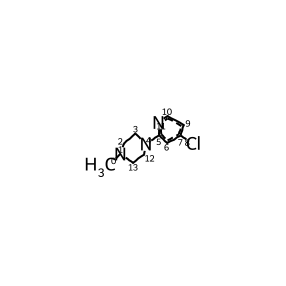 CN1CCN(c2cc(Cl)ccn2)CC1